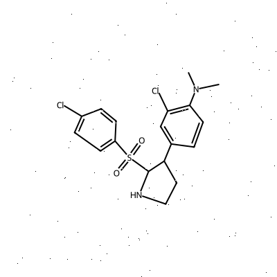 CN(C)c1ccc(C2CCNC2S(=O)(=O)c2ccc(Cl)cc2)cc1Cl